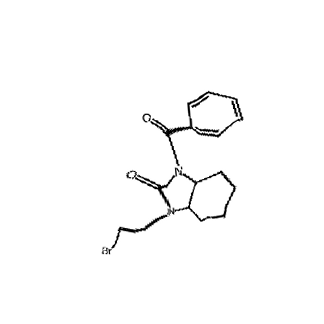 O=C(c1ccccc1)N1C(=O)N(CCBr)C2CCCCC21